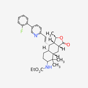 CCOC(=O)NC1CC[C@H]2[C@H](/C=C/c3ccc(-c4ccccc4F)cn3)[C@@H]3[C@@H](C)OC(=O)[C@@H]3C[C@@H]2C1(C)C